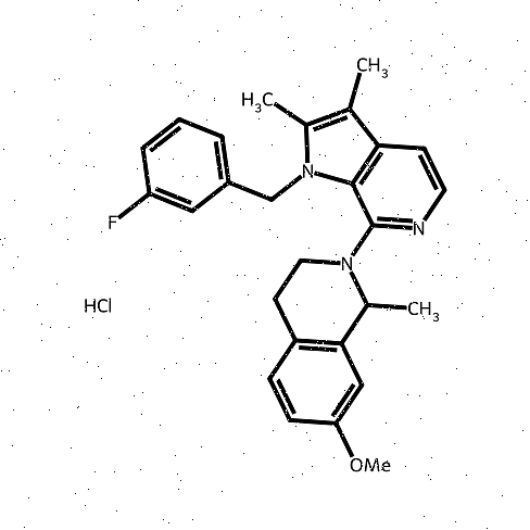 COc1ccc2c(c1)C(C)N(c1nccc3c(C)c(C)n(Cc4cccc(F)c4)c13)CC2.Cl